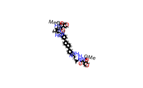 COC(=O)N[C@H](C(=O)N[C@@H]1C[C@@H]1CCc1nc2ccc(-c3ccc4cc(-c5ccc6nc([C@@H]7C[C@H]8C[C@H]8N7C(=O)[C@@H](NC(=O)OC)C7CCOCC7)[nH]c6c5)ccc4c3)cc2[nH]1)C1CCOCC1